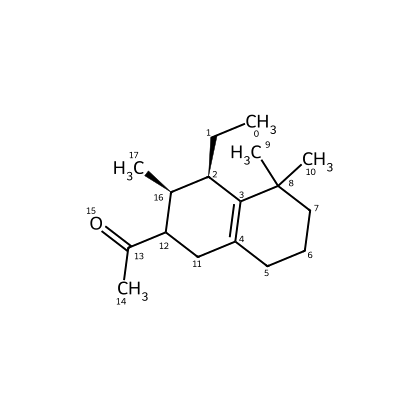 CC[C@H]1C2=C(CCCC2(C)C)CC(C(C)=O)[C@H]1C